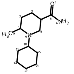 CC1CCC(C(N)=O)CN1C1CCCCC1